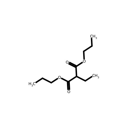 CCCOC(=O)C(CC)C(=O)OCCC